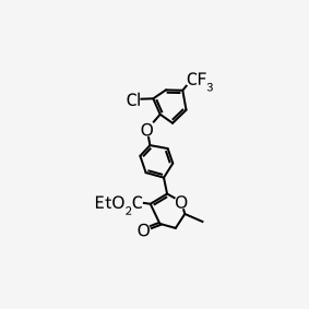 CCOC(=O)C1=C(c2ccc(Oc3ccc(C(F)(F)F)cc3Cl)cc2)OC(C)CC1=O